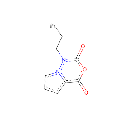 CC(C)CCn1c(=O)oc(=O)c2cccn21